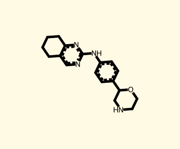 c1cc(C2CNCCO2)ccc1Nc1ncc2c(n1)CCCC2